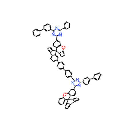 c1ccc(-c2ccc(-c3nc(-c4ccc(-c5ccc(-c6ccc7c(c6)C6(c8ccccc8Oc8cc(-c9nc(-c%10ccccc%10)nc(-c%10cccc(-c%11ccccc%11)c%10)n9)ccc86)c6ccccc6-7)cc5)cc4)nc(-c4ccc5c(c4)Oc4ccccc4C54c5ccccc5-c5ccccc54)n3)cc2)cc1